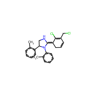 Cc1ccccc1C1CNC(=C2CC=CC([C]Cl)=C2Cl)N1c1ccccc1C